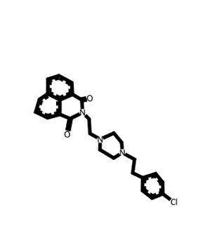 O=C1c2cccc3cccc(c23)C(=O)N1CCN1CCN(CCc2ccc(Cl)cc2)CC1